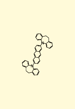 c1ccc2c(c1)CCc1ccccc1N2c1ccc2cc3cc(N4c5ccccc5CCc5ccccc54)ccc3cc2c1